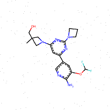 CC1(CO)CN(c2cc(-c3cnc(N)c(OC(F)F)c3)nc(N3CCC3)n2)C1